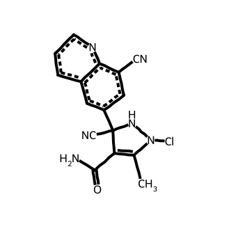 CC1=C(C(N)=O)C(C#N)(c2cc(C#N)c3ncccc3c2)NN1Cl